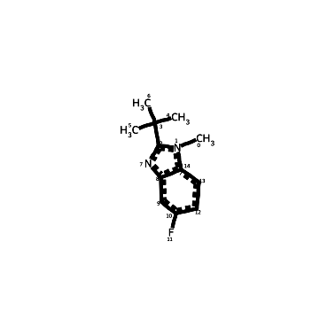 Cn1c(C(C)(C)C)nc2cc(F)ccc21